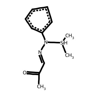 CC(=O)C=NN(c1ccccc1)[SiH](C)C